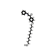 O=C(/C=C/c1ccccc1)c1ccc(OCCCCCCCCCCCCO)cc1